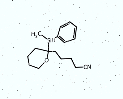 C[SiH](c1ccccc1)C1(CCCCC#N)CCCCO1